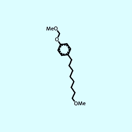 COCCCCCCCCc1ccc(OCOC)cc1